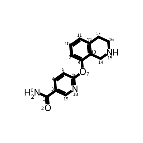 NC(=O)c1ccc(Oc2cccc3c2CNCC3)nc1